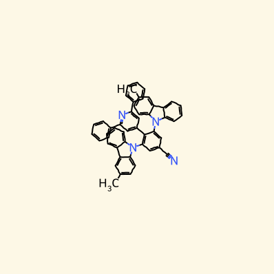 Cc1ccc2c(c1)c1ccccc1n2-c1cc(C#N)cc(-n2c3ccccc3c3cc(C)ccc32)c1-c1cc(-c2ccccc2)nc(-c2ccccc2)c1